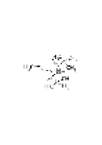 CCCCP(=S)(N[PH](=S)C(C)(C)C)C(C)(C)C